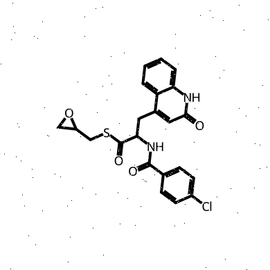 O=C(NC(Cc1cc(=O)[nH]c2ccccc12)C(=O)SCC1CO1)c1ccc(Cl)cc1